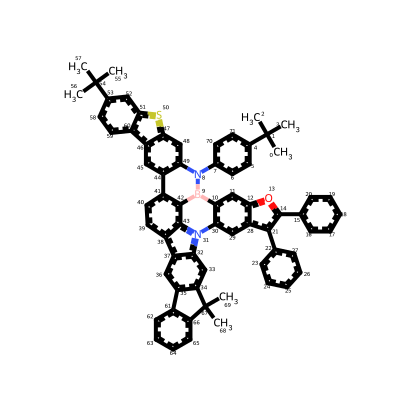 CC(C)(C)c1ccc(N2B3c4cc5oc(-c6ccccc6)c(-c6ccccc6)c5cc4-n4c5cc6c(cc5c5ccc(c3c54)-c3cc4c(cc32)sc2cc(C(C)(C)C)ccc24)-c2ccccc2C6(C)C)cc1